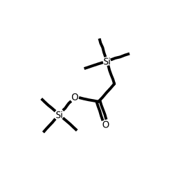 C[Si](C)(C)CC(=O)O[Si](C)(C)C